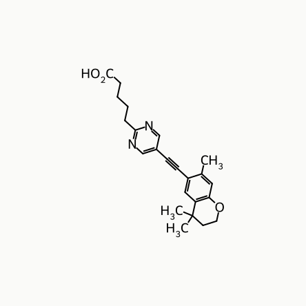 Cc1cc2c(cc1C#Cc1cnc(CCCCC(=O)O)nc1)C(C)(C)CCO2